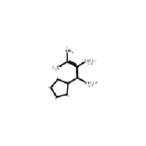 CCOC(=O)C(=C(C)C)C(C(=O)OCC)C1CCCC1